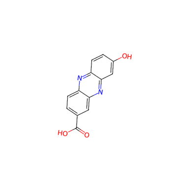 O=C(O)c1ccc2nc3ccc(O)cc3nc2c1